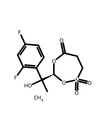 C.CC(O)(c1ccc(F)cc1F)[C@H]1OC(=O)CCS(=O)(=O)O1